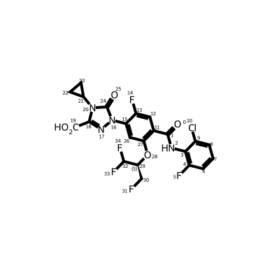 O=C(Nc1c(F)cccc1Cl)c1cc(F)c(-n2nc(C(=O)O)n(C3CC3)c2=O)cc1O[C@@H](CF)C(F)F